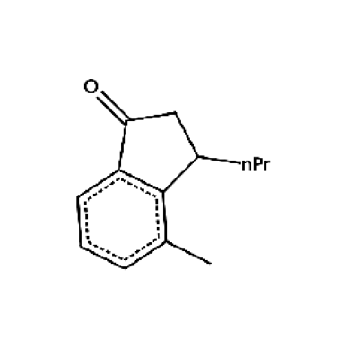 CCCC1CC(=O)c2cccc(C)c21